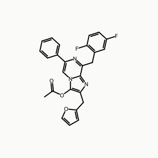 CC(=O)Oc1c(Cc2ccco2)nc2c(Cc3cc(F)ccc3F)nc(-c3ccccc3)cn12